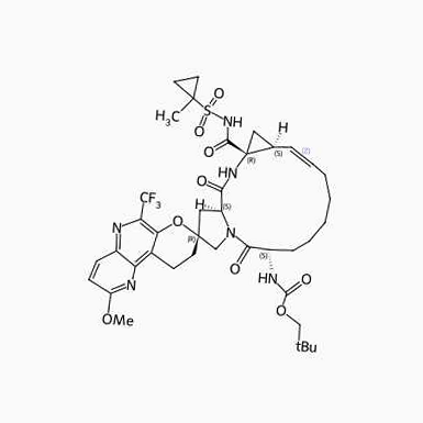 COc1ccc2nc(C(F)(F)F)c3c(c2n1)CC[C@]1(C[C@H]2C(=O)N[C@]4(C(=O)NS(=O)(=O)C5(C)CC5)C[C@H]4/C=C\CCCCC[C@H](NC(=O)OCC(C)(C)C)C(=O)N2C1)O3